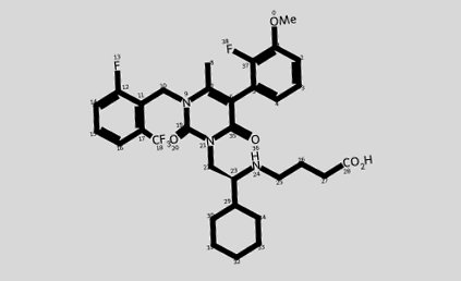 COc1cccc(-c2c(C)n(Cc3c(F)cccc3C(F)(F)F)c(=O)n(C[C@@H](NCCCC(=O)O)C3CCCCC3)c2=O)c1F